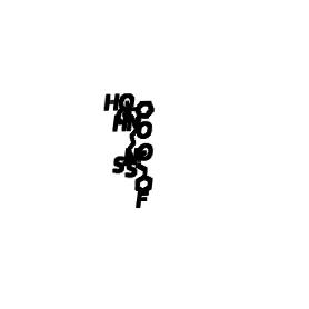 O=C(CCCN1C(=O)/C(=C/c2ccc(F)cc2)SC1=S)Nc1ccccc1C(=O)O